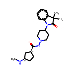 CN[C@@H]1CC[C@H](C(=O)NN2CCC(N3C(=O)C(C)(C)c4ccccc43)CC2)C1